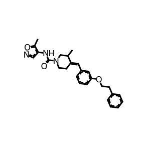 Cc1oncc1NC(=O)N1CCC(=Cc2cccc(OCCc3ccccc3)c2)C(C)C1